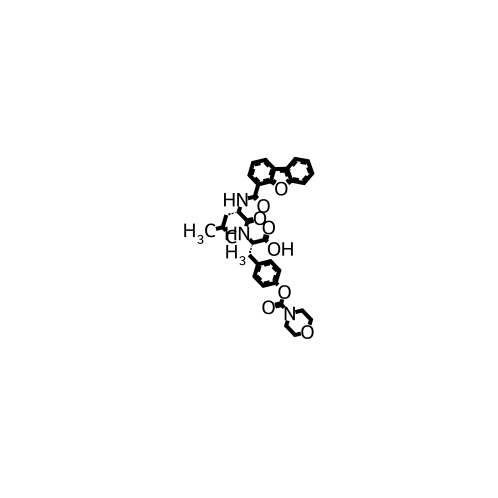 CC(C)C[C@H](NC(=O)c1cccc2c1oc1ccccc12)C(=O)N[C@@H](Cc1ccc(OC(=O)N2CCOCC2)cc1)C(=O)O